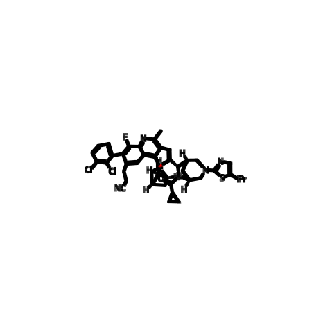 Cc1nc2c(F)c(-c3cccc(Cl)c3Cl)c(CCC#N)cc2c2c1cc([C@H]1[C@H]3C[C@H](CN(c4ncc(C(C)C)s4)C3)N1C(=O)C1CC1)n2[C@H]1[C@H]2CN[C@@H]1C2